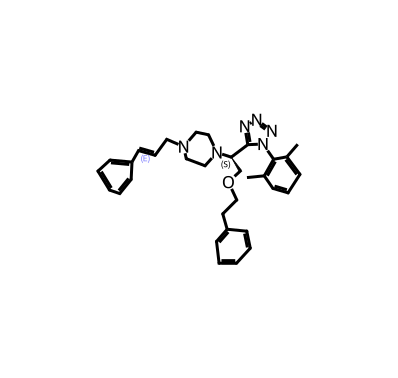 Cc1cccc(C)c1-n1nnnc1[C@@H](COCCc1ccccc1)N1CCN(C/C=C/c2ccccc2)CC1